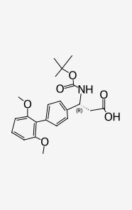 COc1cccc(OC)c1-c1ccc([C@@H](CC(=O)O)NC(=O)OC(C)(C)C)cc1